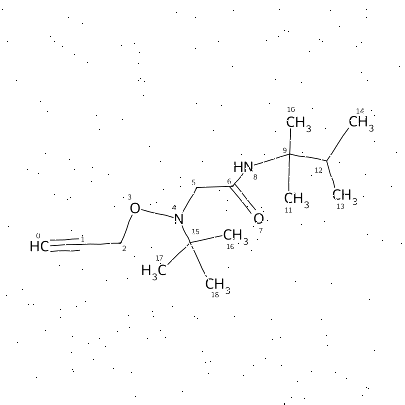 C#CCON(CC(=O)NC(C)(C)C(C)C)C(C)(C)C